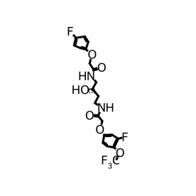 O=C(COc1ccc(OC(F)(F)F)c(F)c1)NCC[C@H](O)CNC(=O)COc1ccc(F)cc1